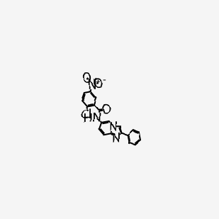 O=C(Nc1ccc2nc(-c3ccccc3)cn2c1)c1cc([N+](=O)[O-])ccc1Cl